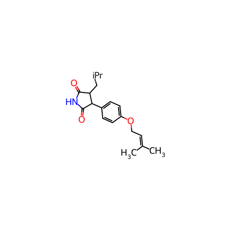 CC(C)=CCOc1ccc(C2C(=O)NC(=O)C2CC(C)C)cc1